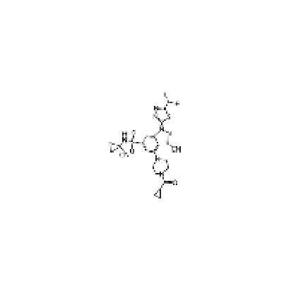 N#Cc1nn(-c2nnc(C(F)F)s2)c2cc(S(=O)(=O)NC3(C#N)CC3)cc(N3CCN(C(=O)C4CC4)CC3)c12